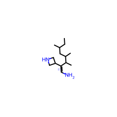 CCC(C)CC(C)C(C)/C(=C\N)C1CNC1